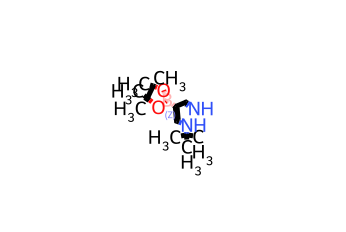 CC(C)(C)N/C=C(\C=N)B1OC(C)(C)C(C)(C)O1